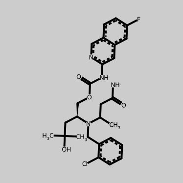 CC(CC([NH])=O)N(Cc1ccccc1Cl)[C@H](COC(=O)Nc1cc2cc(F)ccc2cn1)CC(C)(C)O